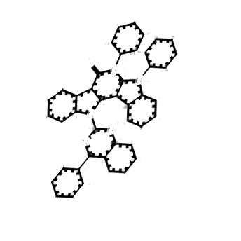 O=c1c2c3ccccc3n(-c3nc(-c4ccccc4)c4ccccc4n3)c2c2c3ccccc3n(-c3ccccc3)c2n1-c1ccccc1